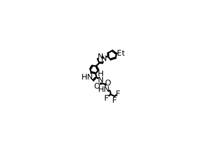 CCc1ccc(-n2cc(-c3ccc4[nH]cc(NC(=O)C(=O)NCC(F)C(F)F)c4c3)cn2)cc1